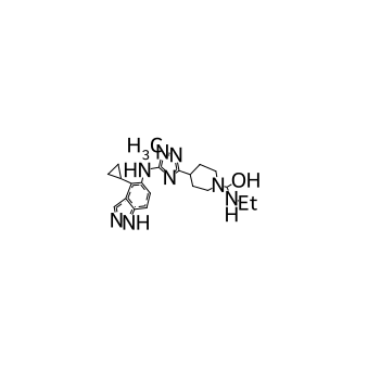 CCNC(O)N1CCC(c2nc(Nc3ccc4[nH]ncc4c3C3CC3)n(C)n2)CC1